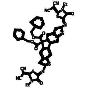 CCN1C(=O)/C(=N/c2cc3cc4c(cc3s2)-c2cc3sc(/N=C5\SC(=C(C#N)C#N)N(CC)C5=O)cc3cc2C4(C(=O)OCc2ccccc2)C(=O)OCc2ccccc2)SC1=C(C#N)C#N